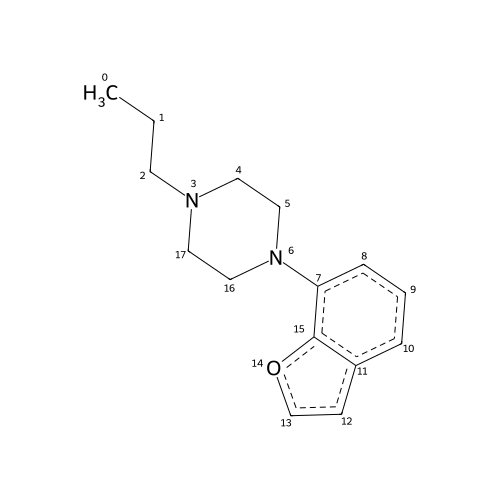 CCCN1CCN(c2cccc3ccoc23)CC1